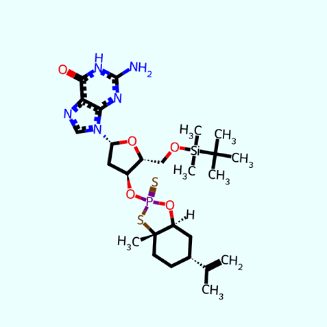 C=C(C)[C@@H]1CC[C@]2(C)SP(=S)(O[C@H]3C[C@H](n4cnc5c(=O)[nH]c(N)nc54)O[C@@H]3CO[Si](C)(C)C(C)(C)C)O[C@H]2C1